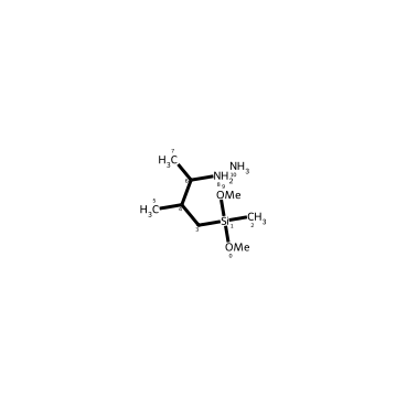 CO[Si](C)(CC(C)C(C)N)OC.N